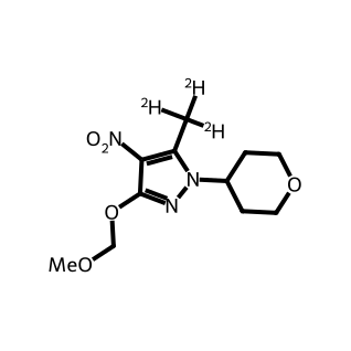 [2H]C([2H])([2H])c1c([N+](=O)[O-])c(OCOC)nn1C1CCOCC1